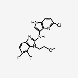 COCCn1c(Nc2c[nH]c3ccc(Cl)nc23)nc2ccc(F)c(F)c21